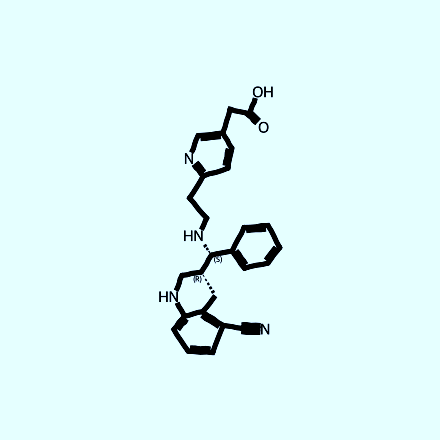 N#Cc1cccc2c1C[C@@H]([C@H](NCCc1ccc(CC(=O)O)cn1)c1ccccc1)CN2